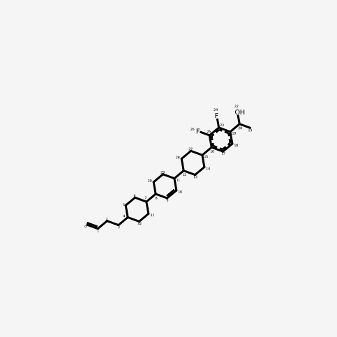 C=CCCC1CCC(C2C=CC(C3CCC(c4ccc(C(C)O)c(F)c4F)CC3)CC2)CC1